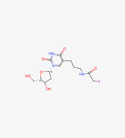 O=C(CI)NCCCc1cn([C@@H]2CC(O)[C@H](CO)O2)c(=O)[nH]c1=O